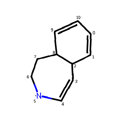 C1=CC2C=C[N]CCC2C=C1